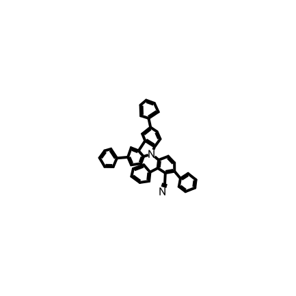 N#Cc1c(-c2ccccc2)ccc(-n2c3ccc(-c4ccccc4)cc3c3cc(-c4ccccc4)ccc32)c1-c1ccccc1